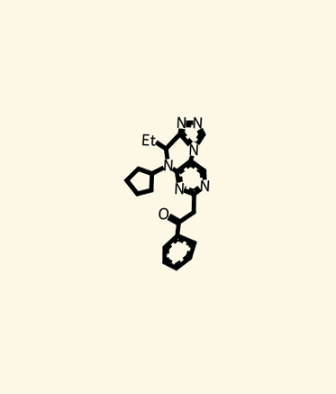 CCC1c2nncn2-c2cnc(CC(=O)c3ccccc3)nc2N1C1CCCC1